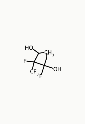 CC(O)C(F)(C(O)(F)F)C(F)(F)F